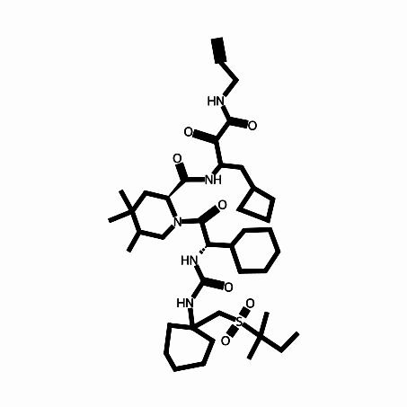 C#CCNC(=O)C(=O)C(CC1CCC1)NC(=O)[C@@H]1CC(C)(C)C(C)CN1C(=O)[C@@H](NC(=O)NC1(CS(=O)(=O)C(C)(C)CC)CCCCC1)C1CCCCC1